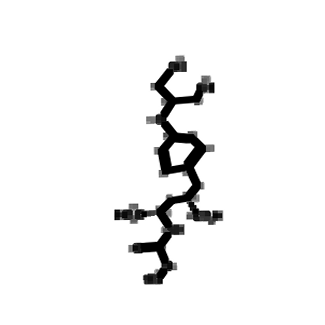 CC(C)(C)OC(=O)N[C@@H](C[C@H](Cc1ccc(OC(CO)CO)cc1)C(=O)O)C(=O)O